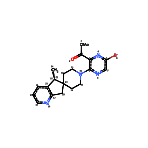 COC(=O)c1nc(Br)cnc1N1CCC2(CC1)Cc1ncccc1[C@H]2C